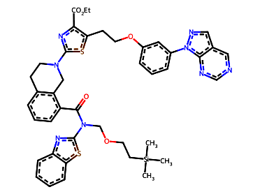 CCOC(=O)c1nc(N2CCc3cccc(C(=O)N(COCC[Si](C)(C)C)c4nc5ccccc5s4)c3C2)sc1CCOc1cccc(-n2ncc3cncnc32)c1